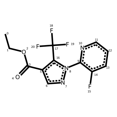 CCOC(=O)c1cnn(-c2ncccc2F)c1C(F)(F)F